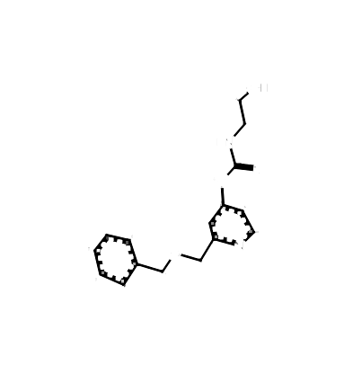 O=C(NCCO)Oc1ccnc(COCc2ccccc2)c1